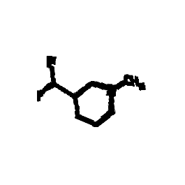 CN1CCCC(C(F)F)C1